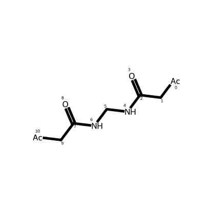 CC(=O)CC(=O)NCNC(=O)CC(C)=O